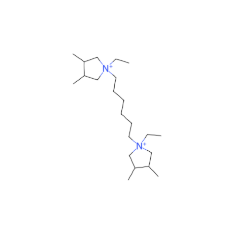 CC[N+]1(CCCCCC[N+]2(CC)CC(C)C(C)C2)CC(C)C(C)C1